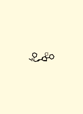 CCN(CC#Cc1ccc(C2CCCCC2)c(Cl)c1)C1CCCCC1